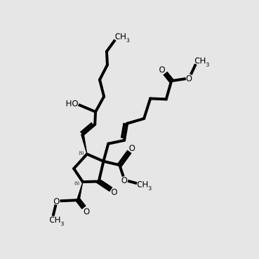 CCCCCC(O)C=C[C@@H]1C[C@H](C(=O)OC)C(=O)C1(CC=CCCCC(=O)OC)C(=O)OC